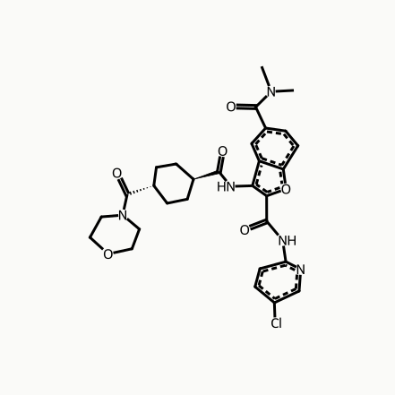 CN(C)C(=O)c1ccc2oc(C(=O)Nc3ccc(Cl)cn3)c(NC(=O)[C@H]3CC[C@H](C(=O)N4CCOCC4)CC3)c2c1